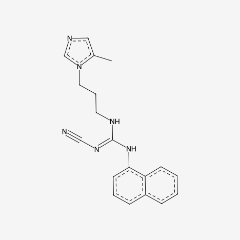 Cc1cncn1CCCNC(=NC#N)Nc1cccc2ccccc12